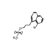 CS(=O)(=O)OCCCc1cccc2cccc(Br)c12